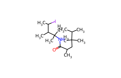 CC(CC(C)(C)C(C)C)C(=O)NC(C)(C)C(C)C(C)I